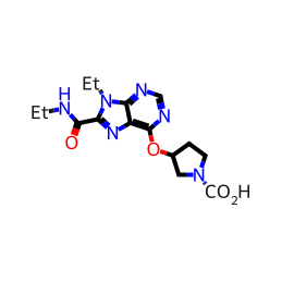 CCNC(=O)c1nc2c(OC3CCN(C(=O)O)C3)ncnc2n1CC